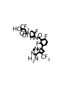 Nc1ncnn2c(-c3ccc(F)c(C(=O)N[C@@H]4CN(C(=O)CC(O)(C(F)(F)F)C(F)(F)F)C[C@@H]4F)c3F)cc(C(F)(F)F)c12